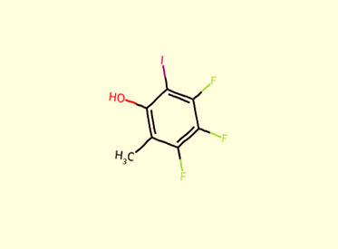 Cc1c(O)c(I)c(F)c(F)c1F